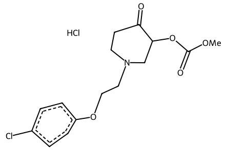 COC(=O)OC1CN(CCOc2ccc(Cl)cc2)CCC1=O.Cl